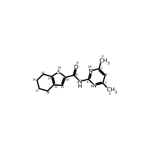 Cc1cc(C)nc(NC(=O)c2cc3c(s2)CCCC3)n1